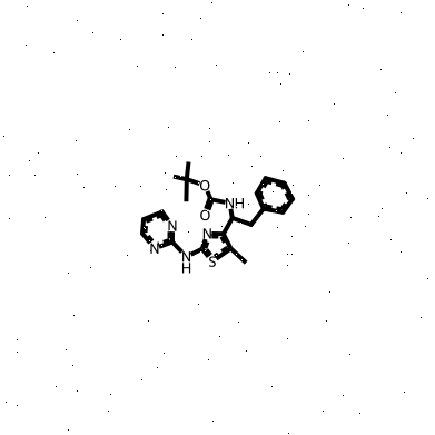 Cc1sc(Nc2ncccn2)nc1C(Cc1ccccc1)NC(=O)OC(C)(C)C